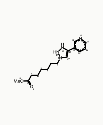 COC(=O)CCCCCCN1C=C(c2cccnc2)NN1